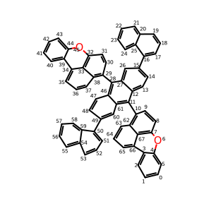 c1ccc2c(c1)Oc1ccc(-c3c4ccc(-c5cccc6ccccc56)cc4c(-c4ccc5c6c(cccc46)-c4ccccc4O5)c4ccc(-c5cccc6ccccc56)cc34)c3cccc-2c13